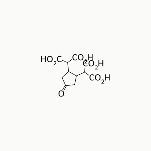 O=C1CC(C(C(=O)O)C(=O)O)C(C(C(=O)O)C(=O)O)C1